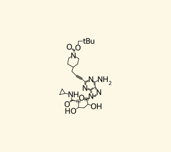 CC(C)(C)COC(=O)N1CCC(CC#Cc2nc(N)c3ncn([C@@H]4O[C@H](C(=O)NC5CC5)C(O)CC4O)c3n2)CC1